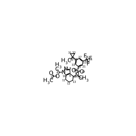 CC(=O)OC(C)n1ncc2c1CCCC2N(C)S(=O)(=O)c1cc(C(F)(F)F)cc(C2(C)CC2)c1